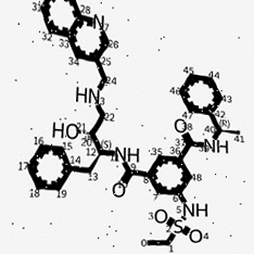 CCS(=O)(=O)Nc1cc(C(=O)N[C@@H](Cc2ccccc2)[C@H](O)CNCc2cnc3ccccc3c2)cc(C(=O)N[C@H](C)c2ccccc2)c1